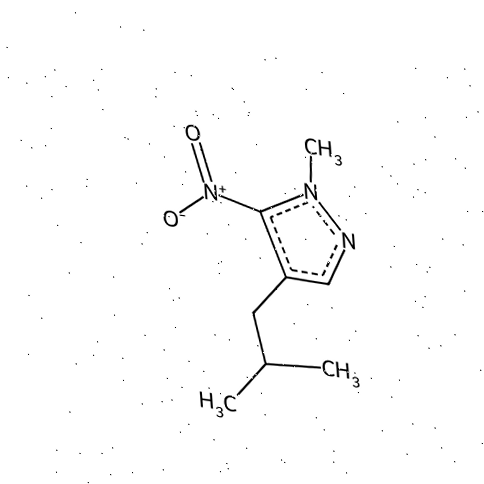 CC(C)Cc1cnn(C)c1[N+](=O)[O-]